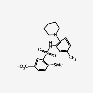 CSc1ccc(C(=O)O)cc1S(=O)(=O)Nc1cc(C(F)(F)F)ccc1N1CCCCC1